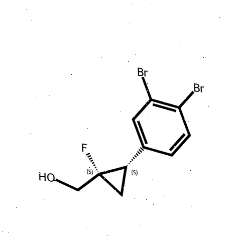 OC[C@]1(F)C[C@H]1c1ccc(Br)c(Br)c1